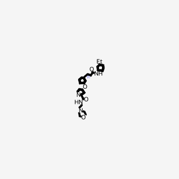 CCc1cccc(NC(=O)/C=C/c2cccc(Oc3ccnc(C(=O)NCCN4CCOCC4)c3)c2)c1